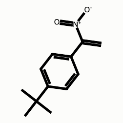 C=C(c1ccc(C(C)(C)C)cc1)[N+](=O)[O-]